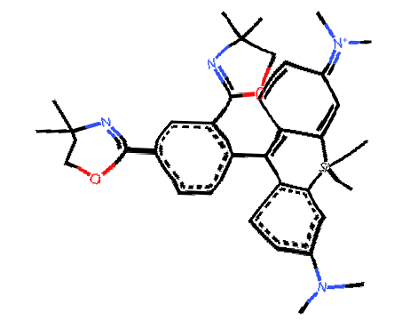 CN(C)c1ccc2c(c1)[Si](C)(C)C1=CC(=[N+](C)C)C=CC1=C2c1ccc(C2=NC(C)(C)CO2)cc1C1=NC(C)(C)CO1